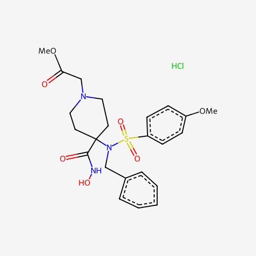 COC(=O)CN1CCC(C(=O)NO)(N(Cc2ccccc2)S(=O)(=O)c2ccc(OC)cc2)CC1.Cl